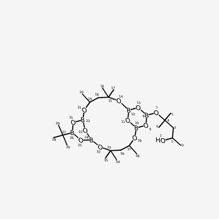 CC(O)CC(C)(C)OB1OB2OB(O1)OC(C)(C)CC(C)OB1OB(OB(C(C)(C)C)O1)OC(C)(C)CC(C)O2